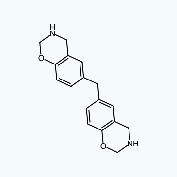 c1cc2c(cc1Cc1ccc3c(c1)CNCO3)CNCO2